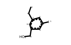 CCc1cc(I)cc([CH]O)c1